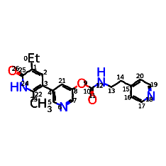 CCc1cc(-c2cncc(OC(=O)NCCc3ccncc3)c2)c(C)[nH]c1=O